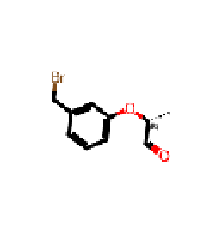 C[C@H](C=O)Oc1cccc(CBr)c1